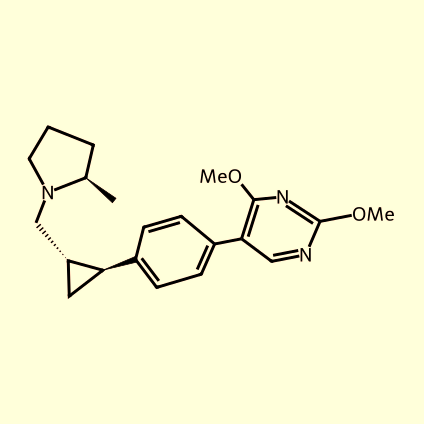 COc1ncc(-c2ccc([C@H]3C[C@@H]3CN3CCC[C@H]3C)cc2)c(OC)n1